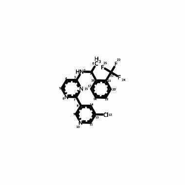 CC(Nc1ccnc(-c2cncc(Cl)c2)n1)c1ccccc1C(F)(F)F